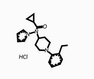 CCc1ccccc1N1CCC(N(C(=O)C2CC2)n2cccc2)CC1.Cl